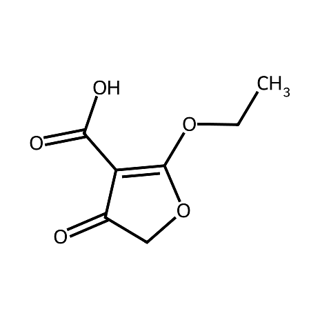 CCOC1=C(C(=O)O)C(=O)CO1